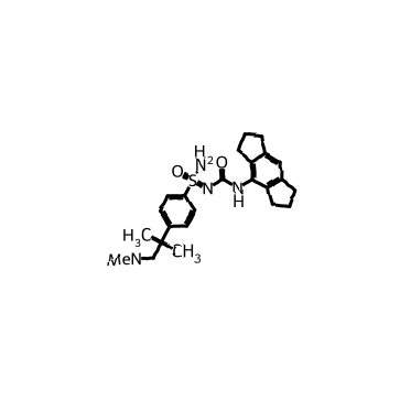 CNCC(C)(C)c1ccc([S@@](N)(=O)=NC(=O)Nc2c3c(cc4c2CCC4)CCC3)cc1